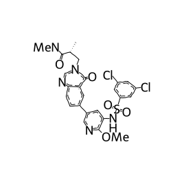 CNC(=O)[C@H](C)Cn1cnc2ccc(-c3cnc(OC)c(NS(=O)(=O)c4cc(Cl)cc(Cl)c4)c3)cc2c1=O